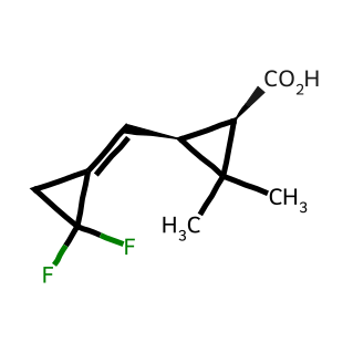 CC1(C)[C@H](C(=O)O)[C@@H]1/C=C1/CC1(F)F